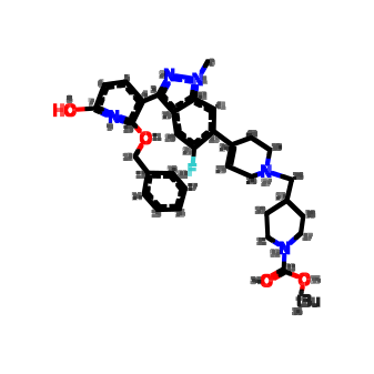 Cn1nc(-c2ccc(O)nc2OCc2ccccc2)c2cc(F)c(C3=CCN(CC4CCN(C(=O)OC(C)(C)C)CC4)CC3)cc21